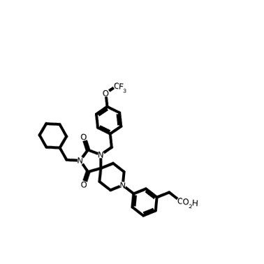 O=C(O)Cc1cccc(N2CCC3(CC2)C(=O)N(CC2CCCCC2)C(=O)N3Cc2ccc(OC(F)(F)F)cc2)c1